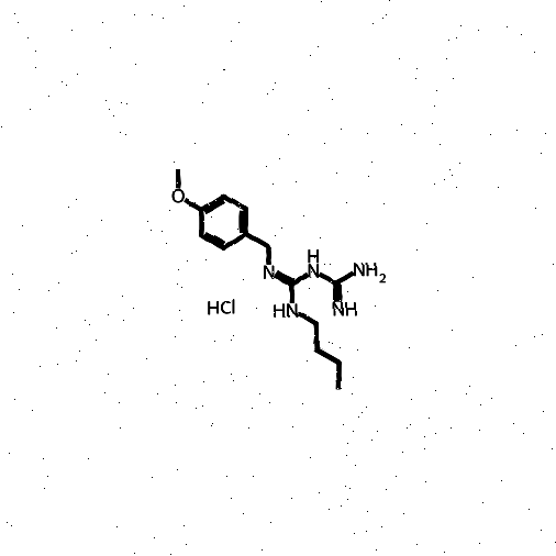 CCCCNC(=NCc1ccc(OC)cc1)NC(=N)N.Cl